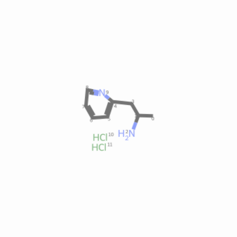 CC(N)Cc1ccccn1.Cl.Cl